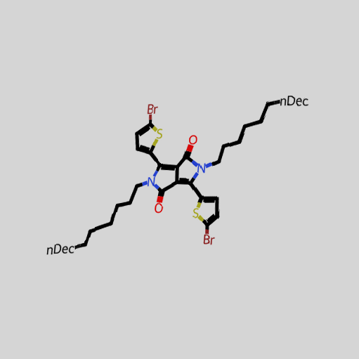 CCCCCCCCCCCCCCCCN1C(=O)C2=C(c3ccc(Br)s3)N(CCCCCCCCCCCCCCCC)C(=O)C2=C1c1ccc(Br)s1